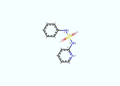 O=S(=O)(Nc1ccccc1)Nc1ccccn1